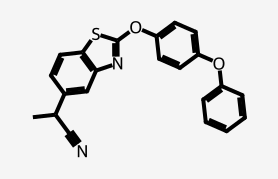 CC(C#N)c1ccc2sc(Oc3ccc(Oc4ccccc4)cc3)nc2c1